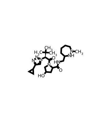 CN1CCCCC(CNC(=O)C2CC(O)CN2C(=O)[C@@H](n2cc(C3CC3)nn2)C(C)(C)C)N1